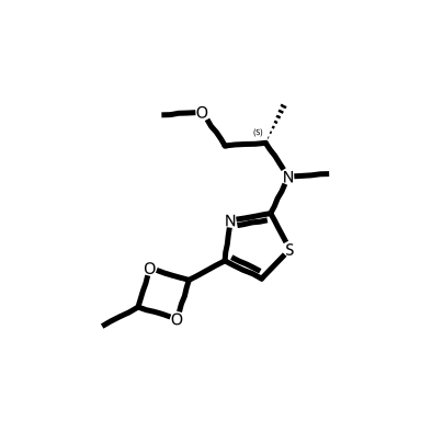 COC[C@H](C)N(C)c1nc(C2OC(C)O2)cs1